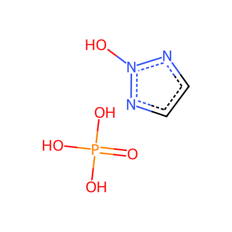 O=P(O)(O)O.On1nccn1